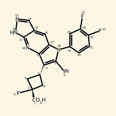 CC(C)c1c([C@H]2C[C@](F)(C(=O)O)C2)c2nc3[nH]ncc3cc2n1-c1ccc(F)c(F)c1